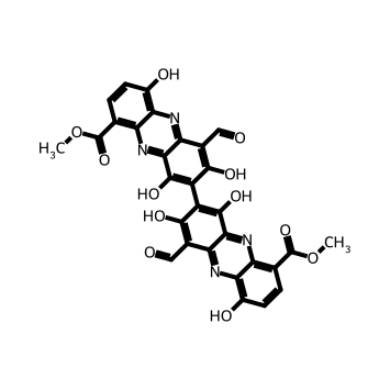 COC(=O)c1ccc(O)c2nc3c(C=O)c(O)c(-c4c(O)c(C=O)c5nc6c(O)ccc(C(=O)OC)c6nc5c4O)c(O)c3nc12